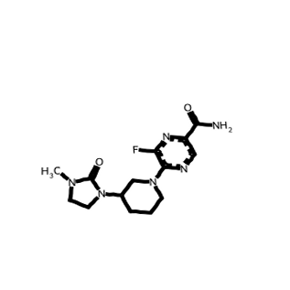 CN1CCN(C2CCCN(c3ncc(C(N)=O)nc3F)C2)C1=O